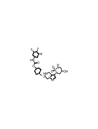 O=C(Nc1cc(F)c(F)c(F)c1)Oc1ccc(C[C@H]2Cn3ncc(N4CC(O)CNS4(=O)=O)c3CN2)cc1